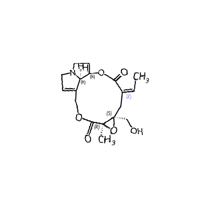 C/C=C1/C[C@@]2(CO)O[C@@]2(C)C(=O)OCC2=CCN3CC[C@@H](OC1=O)[C@@H]23